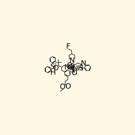 CCOC(=O)CCc1cc2c(c(S(=O)(=O)NC(Cc3nc4ccccc4s3)C(=O)N3CCC(CCF)CC3)c1)NCC(C(O[SiH](c1ccccc1)c1ccccc1)C(C)(C)C)C2